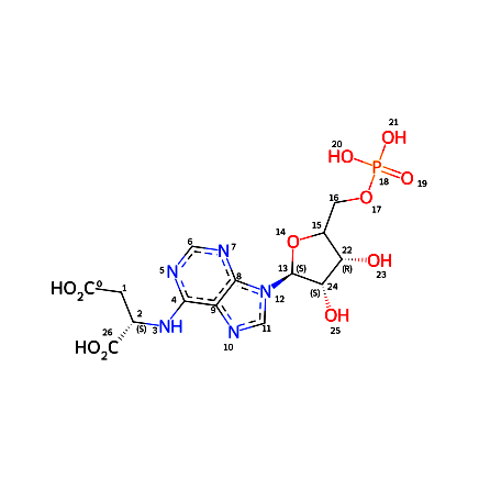 O=C(O)C[C@H](Nc1ncnc2c1ncn2[C@H]1OC(COP(=O)(O)O)[C@H](O)[C@@H]1O)C(=O)O